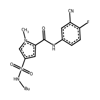 CCC(C)NS(=O)(=O)c1cc(C(=O)Nc2ccc(F)c(C#N)c2)n(C)c1